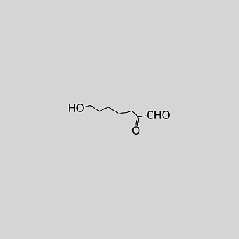 O=CC(=O)CCCCCO